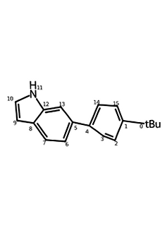 CC(C)(C)c1ccc(-c2ccc3cc[nH]c3c2)cc1